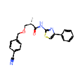 C[C@@H](COCc1ccc(C#N)cc1)C(=O)Nc1nc(-c2ccccc2)cs1